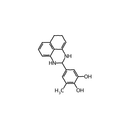 Cc1cc(C2NC3=CCCc4cccc(c43)N2)cc(O)c1O